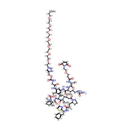 CC[C@H](C)[C@@H]([C@@H](CC(=O)N1CCC[C@H]1[C@H](OC)[C@@H](C)C(=O)N[C@@H](Cc1ccccc1)c1nccs1)OC)N(C)C(=O)[C@@H](NC(=O)[C@@H]1[C@H]2CC[C@H](C2)N1C(=O)OCc1ccc(NC(=O)[C@H](CCCNC(N)=O)NC(=O)[C@@H](NC(=O)CCOCCN2C(=O)C=CC2=O)C(C)C)cc1NC(=O)CNC(=O)OCc1cn(CCOCCOCCOCCOCCOCCOCCOCCOC)nn1)C(C)C